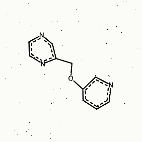 [c]1ncccc1OCc1cnccn1